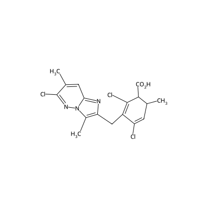 Cc1cc2nc(CC3=C(Cl)C(C(=O)O)C(C)C=C3Cl)c(C)n2nc1Cl